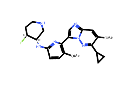 COc1ccc(N[C@H]2CNCC[C@@H]2F)nc1-c1cnc2cc(OC)c(C3CC3)nn12